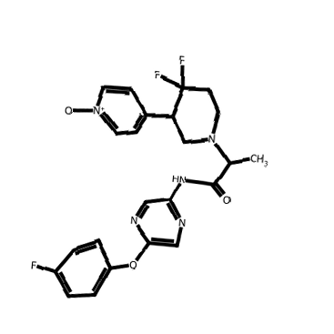 CC(C(=O)Nc1cnc(Oc2ccc(F)cc2)cn1)N1CCC(F)(F)C(c2cc[n+]([O-])cc2)C1